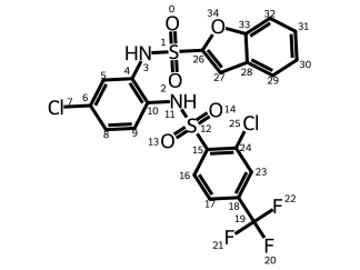 O=S(=O)(Nc1cc(Cl)ccc1NS(=O)(=O)c1ccc(C(F)(F)F)cc1Cl)c1cc2ccccc2o1